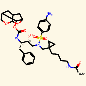 COC(=O)NCCCCC1(CN(C[C@@H](O)[C@H](Cc2ccccc2)NC(=O)OC2C3COC4OC2CC4C3)S(=O)(=O)c2ccc(N)cc2)CC1